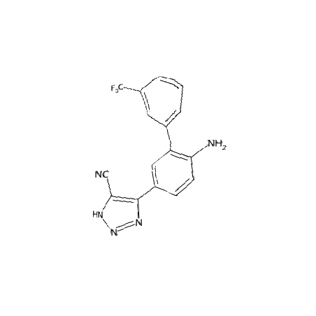 N#Cc1[nH]nnc1-c1ccc(N)c(-c2cccc(C(F)(F)F)c2)c1